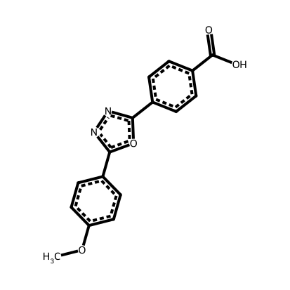 COc1ccc(-c2nnc(-c3ccc(C(=O)O)cc3)o2)cc1